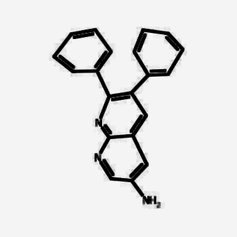 Nc1cnc2nc(-c3ccccc3)c(-c3ccccc3)cc2c1